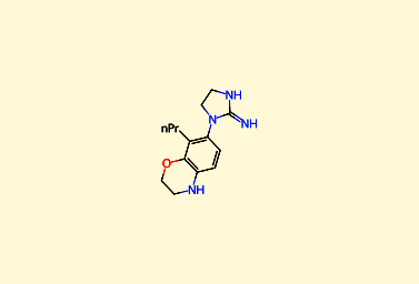 CCCc1c(N2CCNC2=N)ccc2c1OCCN2